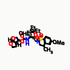 CC[Si](CC)(CC)O[C@H](CN1CC(C)c2cc(OC)ccc2S1(=O)=O)[C@H](C=O)NC(=O)O[C@H]1CO[C@H]2OCC[C@H]21